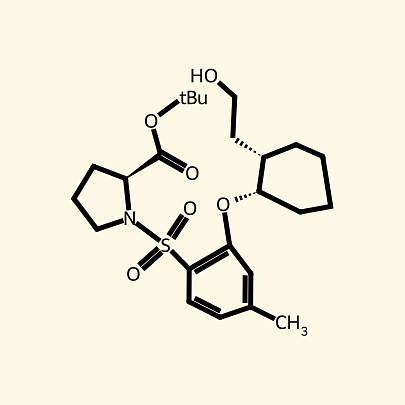 Cc1ccc(S(=O)(=O)N2CCC[C@H]2C(=O)OC(C)(C)C)c(O[C@H]2CCCC[C@H]2CCO)c1